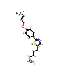 C/C=C/COc1ccc(-c2ncc(CCCCC)s2)cc1